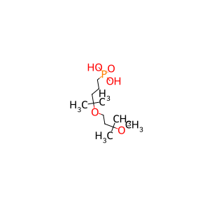 COC(C)(C)CCOC(C)(C)CCCP(=O)(O)O